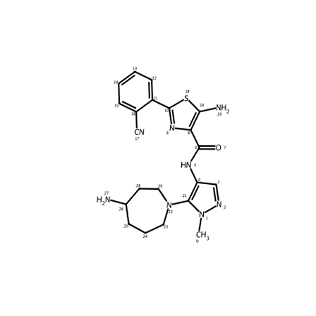 Cn1ncc(NC(=O)c2nc(-c3ccccc3C#N)sc2N)c1N1CCCC(N)CC1